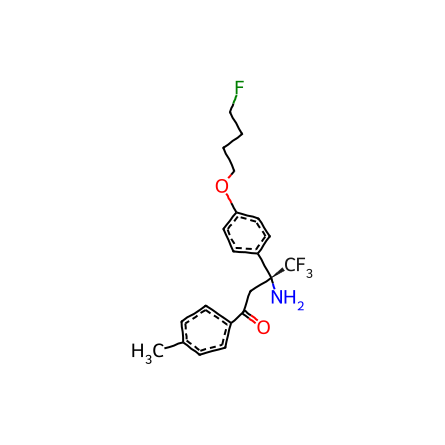 Cc1ccc(C(=O)C[C@@](N)(c2ccc(OCCCCF)cc2)C(F)(F)F)cc1